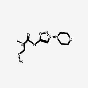 CC(=O)SC[C@@H](C)C(=O)[N-]c1c[n+](N2CCOCC2)no1